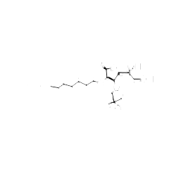 CCCCCCCCCCCCCCCCOC1=C(OCC(C)(C)O)[C@@H]([C@@H](O)CO)OC1=O